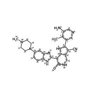 Cc1c(N)cncc1-c1[nH]c2c(-c3nc4cc(N5CCN(C)CC5)ccc4[nH]3)c(=O)[nH]cc2c1C#N